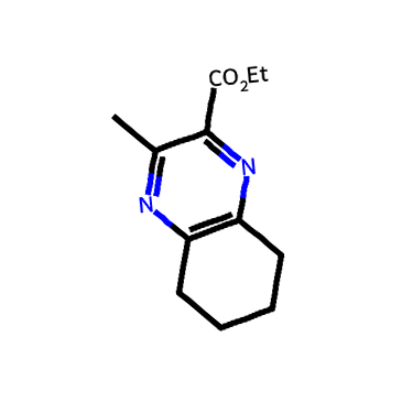 CCOC(=O)c1nc2c(nc1C)CCCC2